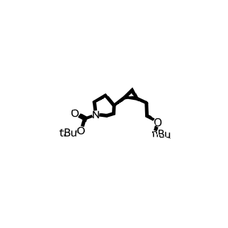 CCCCOCCC1CC1C1CCN(C(=O)OC(C)(C)C)CC1